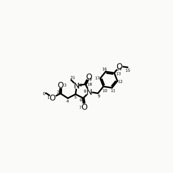 COC(=O)CC1C(=O)N(Cc2ccc(OC)cc2)C(=O)N1C